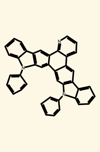 c1ccc(-n2c3ccccc3c3cc4c(cc32)c2cc3c(cc2c2ncccc42)c2ccccc2n3-c2ccccc2)cc1